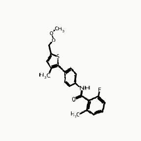 COOCc1cc(C)c(-c2ccc(NC(=O)c3c(C)cccc3F)cc2)s1